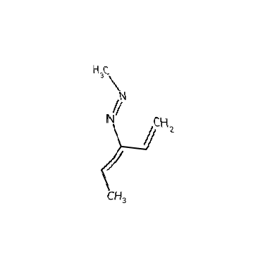 C=C/C(=C\C)N=NC